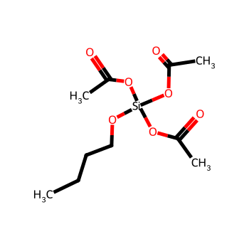 CCCCO[Si](OC(C)=O)(OC(C)=O)OC(C)=O